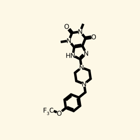 Cn1c(=O)c2nc(N3CCN(Cc4ccc(OC(F)(F)F)cc4)CC3)[nH]c2n(C)c1=O